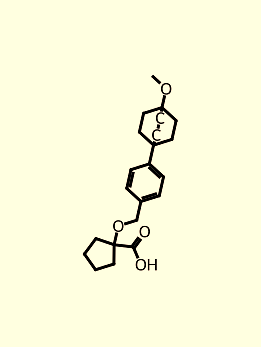 COC12CCC(c3ccc(COC4(C(=O)O)CCCC4)cc3)(CC1)CC2